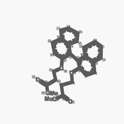 COC(=O)CCOc1ccc2ccccc2c1-c1c(OCCC(=O)OC)ccc2ccccc12